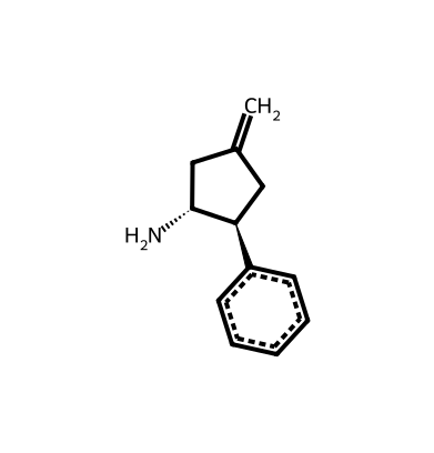 C=C1C[C@@H](N)[C@H](c2ccccc2)C1